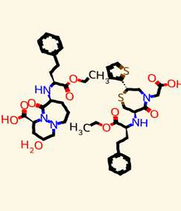 CCOC(=O)[C@H](CCc1ccccc1)N[C@H]1CCCN2CCC[C@@H](C(=O)O)N2C1=O.CCOC(=O)[C@H](CCc1ccccc1)N[C@H]1CS[C@H](c2cccs2)CN(CC(=O)O)C1=O.O